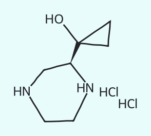 Cl.Cl.OC1([C@@H]2CNCCN2)CC1